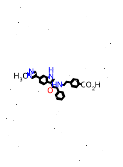 Cn1cc(-c2ccc3c(C(=O)C(NCCc4ccc(C(=O)O)cc4)c4ccccc4)c[nH]c3c2)cn1